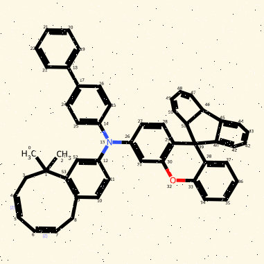 CC1(C)C/C=C\C=C/Cc2ccc(N(c3ccc(-c4ccccc4)cc3)c3ccc4c(c3)Oc3ccccc3C43c4ccccc4C4C=CC=CC43)cc21